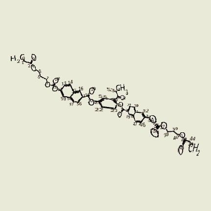 C=CC(=O)OCCCOC(=O)Oc1ccc2cc(C(=O)Oc3ccc(OC(=O)c4ccc5cc(OC(=O)OCCCOC(=O)C=C)ccc5c4)c(C(=O)CC)c3)ccc2c1